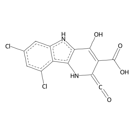 O=C=C1Nc2c([nH]c3cc(Cl)cc(Cl)c23)C(O)=C1C(=O)O